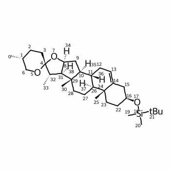 C[C@@H]1CC[C@@]2(OC1)O[C@H]1C[C@H]3[C@@H]4CC=C5C[C@@H](O[Si](C)(C)C(C)(C)C)CC[C@]5(C)[C@H]4CC[C@]3(C)[C@H]1[C@@H]2C